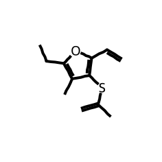 C=Cc1oc(CC)c(C)c1SC(=C)C